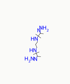 CC(=NN)C(C)(C)NCCCNC(C)(C)C(C)=NN